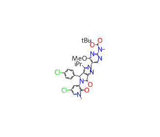 COc1nc(N(C)C(=O)OC(C)(C)C)ncc1-n1nc2c(c1C(C)C)C(c1ccc(Cl)cc1)N(c1cc(Cl)cn(C)c1=O)C2=O